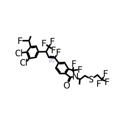 CC(F)c1cc(C(/C=C(\F)c2ccc3c(c2)C(F)(F)N(C(C)CSCC(F)(F)F)C3=O)C(F)(F)F)cc(Cl)c1Cl